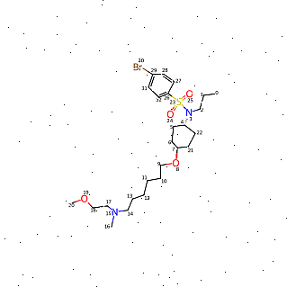 CCCN([C@H]1CC[C@H](OCCCCCCN(C)CCOC)CC1)S(=O)(=O)c1ccc(Br)cc1